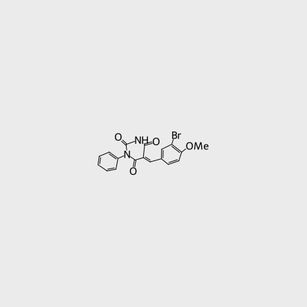 COc1ccc(/C=C2\C(=O)NC(=O)N(c3ccccc3)C2=O)cc1Br